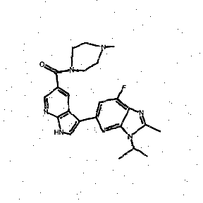 Cc1nc2c(F)cc(-c3c[nH]c4ncc(C(=O)N5CCN(C)CC5)cc34)cc2n1C(C)C